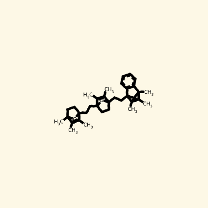 CC1=C(C)C2(CCC34CCC(CCC56CC(C)(C(C)=C5C)c5ccccc56)(O3)C(C)=C4C)CCC1(C)O2